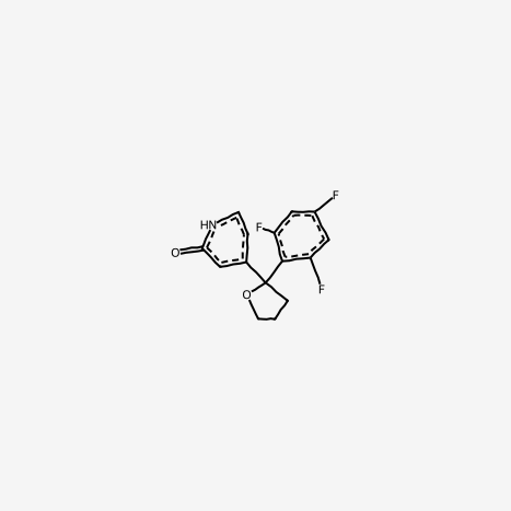 O=c1cc(C2(c3c(F)cc(F)cc3F)CCCO2)cc[nH]1